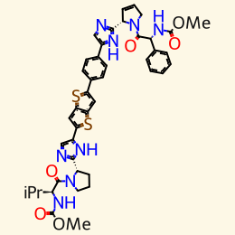 COC(=O)N[C@H](C(=O)N1CCC[C@H]1c1ncc(-c2cc3sc(-c4ccc(-c5cnc([C@@H]6C=CCN6C(=O)[C@H](NC(=O)OC)c6ccccc6)[nH]5)cc4)cc3s2)[nH]1)C(C)C